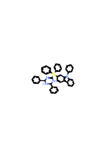 C1=CC(S(C2=NC(c3ccccc3)NC(c3ccccc3)N2)(c2ccccc2)c2ccccc2)Cc2c1c1ccccc1n2-c1ccccc1